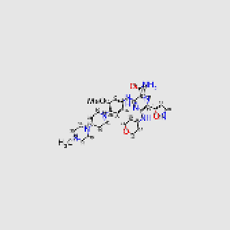 COc1cc(Nc2nc(NC3CCOCC3)c(-c3ccno3)nc2C(N)=O)ccc1N1CCC(N2CCN(C)CC2)CC1